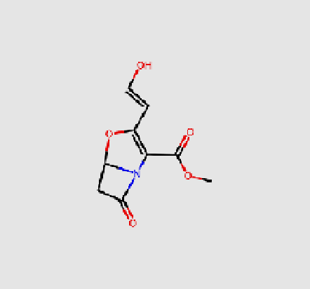 COC(=O)C1=C(C=CO)OC2CC(=O)N12